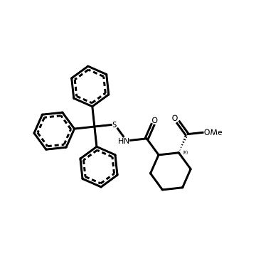 COC(=O)[C@@H]1CCCCC1C(=O)NSC(c1ccccc1)(c1ccccc1)c1ccccc1